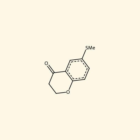 CSc1ccc2c(c1)C(=O)CCO2